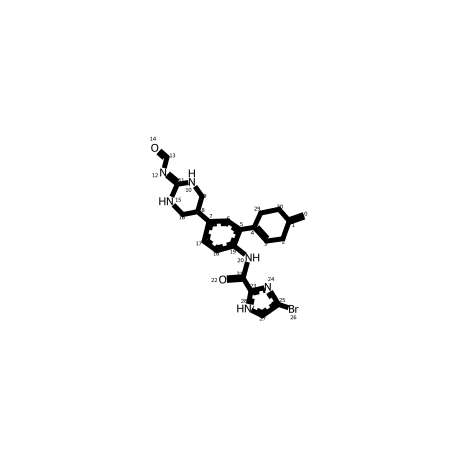 C=C1CC=C(c2cc(C3CNC(=NC=O)NC3)ccc2NC(=O)c2nc(Br)c[nH]2)CC1